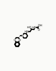 O=C(O)NCC(O)CN[C@H]1CCCN(C[C@H]2COc3ccccc3O2)C1